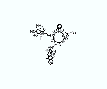 Cc1c(C)c(S(=O)(=O)NC(=N)NCCC[C@@H]2NC(=O)[C@H](CCCCNC(=O)C3O[C@H](CN)[C@H](O)C(O)[C@@H]3O)NC(=O)[C@@H](Cc3ccccc3)NC(=O)[C@H](CC(=O)OC(C)(C)C)NC(=O)CNC2=O)c(C)c2c1OC(C)(C)C2